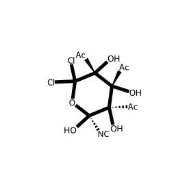 [C-]#[N+][C@]1(O)OC(Cl)(Cl)[C@@](O)(C(C)=O)[C@@](O)(C(C)=O)[C@]1(O)C(C)=O